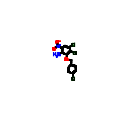 Nc1c([N+](=O)[O-])cc(Cl)c(Cl)c1OCc1ccc(Cl)cc1